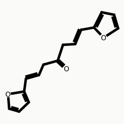 O=C(CC=Cc1ccco1)CC=Cc1ccco1